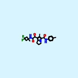 Cc1ccc(NC(=O)c2c(C)c(C(=O)C(=O)NC3(C)CC(F)(F)C3)c3n2CCC3)cc1